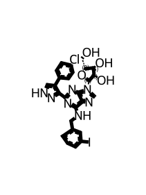 OC[C@H]1O[C@@H](n2cnc3c(NCc4cccc(I)c4)nc(-c4n[nH]cc4-c4ccc(Cl)cc4)nc32)[C@H](O)[C@@H]1O